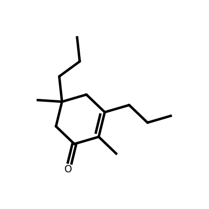 CCCC1=C(C)C(=O)CC(C)(CCC)C1